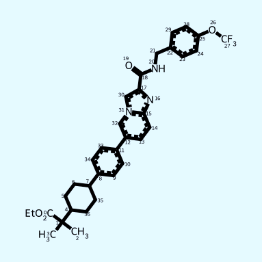 CCOC(=O)C(C)(C)C1CCC(c2ccc(-c3ccc4nc(C(=O)NCc5ccc(OC(F)(F)F)cc5)cn4c3)cc2)CC1